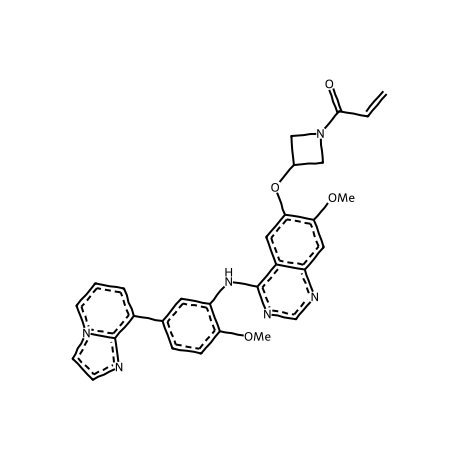 C=CC(=O)N1CC(Oc2cc3c(Nc4cc(-c5cccn6ccnc56)ccc4OC)ncnc3cc2OC)C1